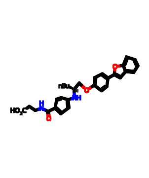 CCCC[C@@H](COc1ccc(-c2cc3ccccc3o2)cc1)Nc1ccc(C(=O)NCCC(=O)O)cc1